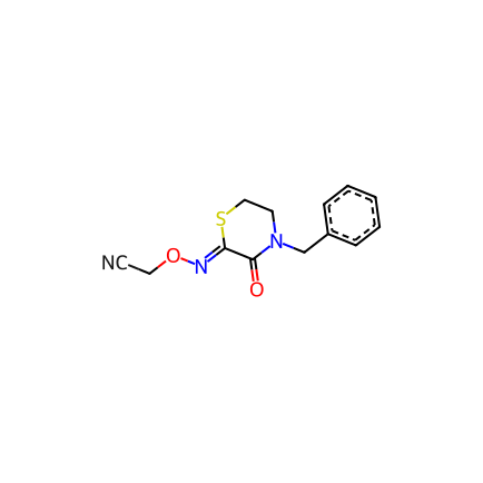 N#CCON=C1SCCN(Cc2ccccc2)C1=O